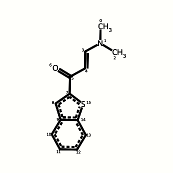 CN(C)/C=C/C(=O)c1cc2ccccc2s1